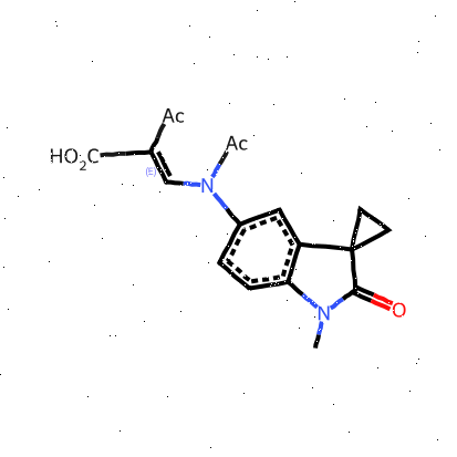 CC(=O)/C(=C\N(C(C)=O)c1ccc2c(c1)C1(CC1)C(=O)N2C)C(=O)O